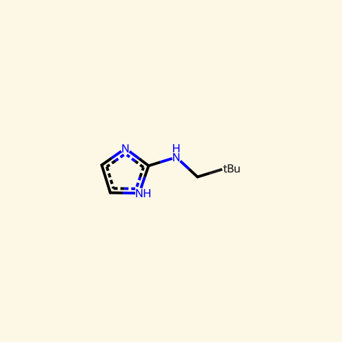 CC(C)(C)CNc1ncc[nH]1